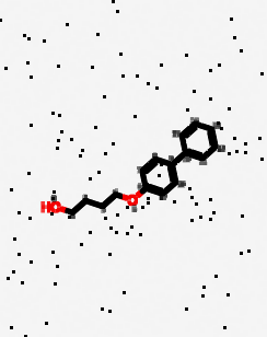 OCCCCOc1ccc(-c2ccccc2)cc1